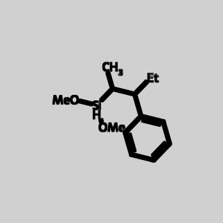 CCC(c1ccccc1)C(C)[SiH](OC)OC